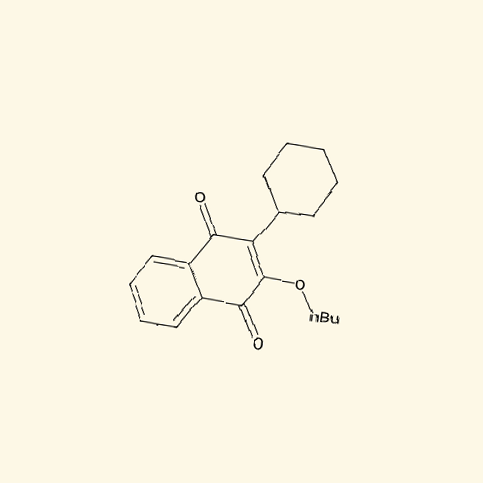 CCCCOC1=C(C2CCCCC2)C(=O)c2ccccc2C1=O